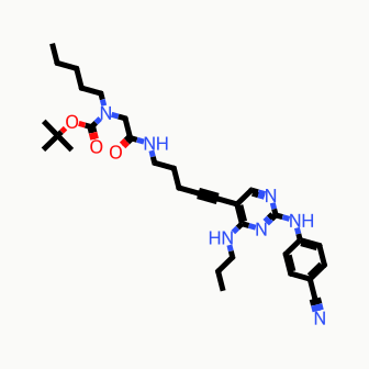 CCCCCN(CC(=O)NCCCC#Cc1cnc(Nc2ccc(C#N)cc2)nc1NCCC)C(=O)OC(C)(C)C